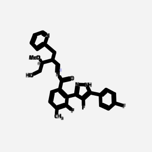 CO[C@H](CO)C(/C=N/C(=O)c1ccc(C)c(F)c1-c1n[nH]c(-c2ccc(F)cc2)c1F)Cc1ccccn1